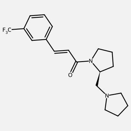 O=C(/C=C/c1cccc(C(F)(F)F)c1)N1CCC[C@H]1CN1CCCC1